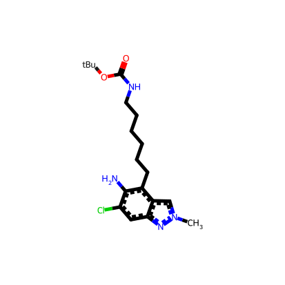 Cn1cc2c(CCCCCCNC(=O)OC(C)(C)C)c(N)c(Cl)cc2n1